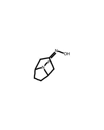 CC(C)N1C2CCC1CC(=NO)C2